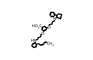 C/C=C\C=C/Cc1ccccc1NCCCCOc1cc(OCCCCn2c3c(c4ccccc42)CCC=C3)cc(C(=O)O)c1